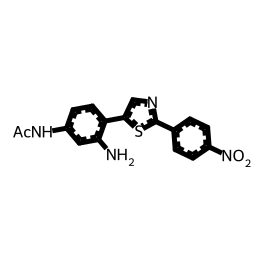 CC(=O)Nc1ccc(-c2cnc(-c3ccc([N+](=O)[O-])cc3)s2)c(N)c1